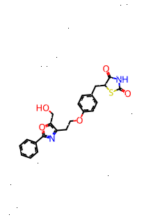 O=C1NC(=O)C(Cc2ccc(OCCc3nc(-c4ccccc4)oc3CO)cc2)S1